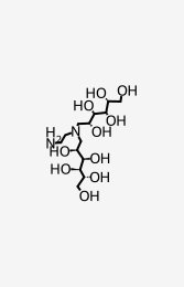 NCCN(C[C@@H](O)[C@@H](O)[C@H](O)[C@H](O)CO)C[C@H](O)[C@@H](O)[C@H](O)[C@H](O)CO